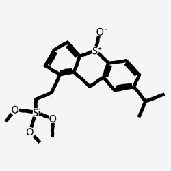 CO[Si](CCc1cccc2c1Cc1cc(C(C)C)ccc1[S+]2[O-])(OC)OC